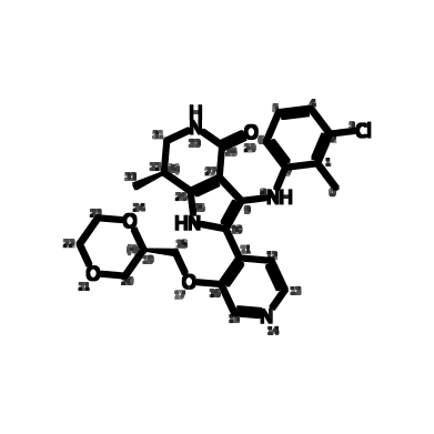 Cc1c(Cl)cccc1Nc1c(-c2ccncc2OC[C@H]2COCCO2)[nH]c2c1C(=O)NC[C@@H]2C